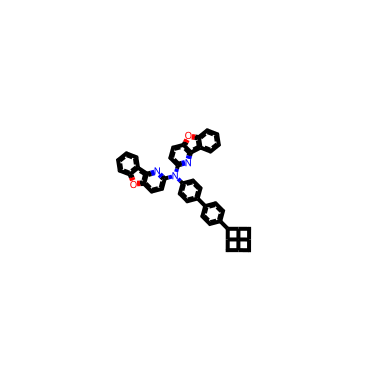 c1ccc2c(c1)oc1ccc(N(c3ccc(-c4ccc(C5C6CC7CC8CC5C786)cc4)cc3)c3ccc4oc5ccccc5c4n3)nc12